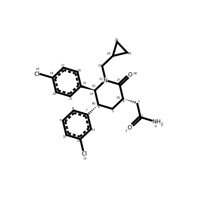 NC(=O)C[C@@H]1C[C@H](c2cccc(Cl)c2)[C@@H](c2ccc(Cl)cc2)N(CC2CC2)C1=O